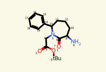 CC(C)(C)OC(=O)CN1C(=O)C(N)CCCC1c1ccccc1